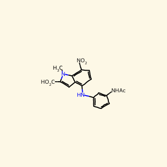 CC(=O)Nc1cccc(Nc2ccc([N+](=O)[O-])c3c2cc(C(=O)O)n3C)c1